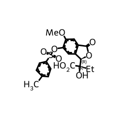 CC[C@@](O)(C(=O)O)[C@@H]1OC(=O)c2cc(OC)c(OS(=O)(=O)c3ccc(C)cc3)cc21